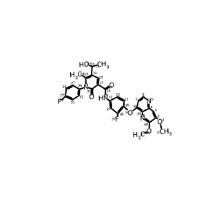 COc1cc2nccc(Oc3ccc(NC(=O)c4cc(C(C)O)c(C)n(-c5ccc(F)cc5)c4=O)cc3F)c2nc1OC